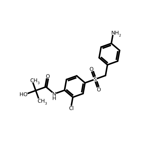 CC(C)(O)C(=O)Nc1ccc(S(=O)(=O)Cc2ccc(N)cc2)cc1Cl